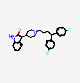 O=C1Nc2ccccc2C1C1CCN(CCCC(c2ccc(F)cc2)c2ccc(F)cc2)CC1